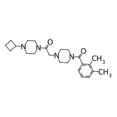 Cc1cccc(C(=O)N2CCN(CC(=O)N3CCN(C4CCC4)CC3)CC2)c1C